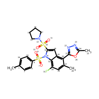 Cc1ccc(S(=O)(=O)n2c(S(=O)(=O)N3CCCC3)cc3c(-c4nnc(C)o4)c(C)cc(F)c32)cc1